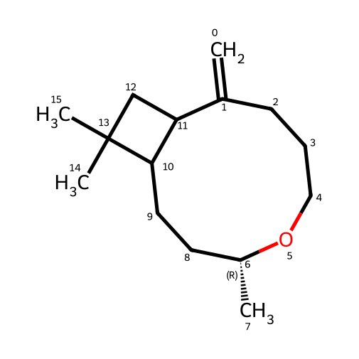 C=C1CCCO[C@H](C)CCC2C1CC2(C)C